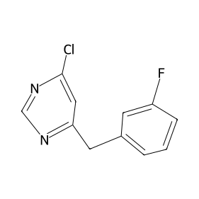 Fc1cccc(Cc2cc(Cl)ncn2)c1